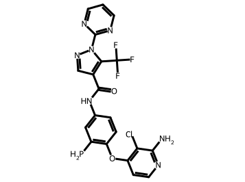 Nc1nccc(Oc2ccc(NC(=O)c3cnn(-c4ncccn4)c3C(F)(F)F)cc2P)c1Cl